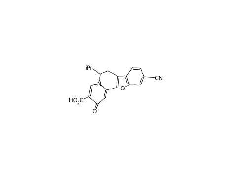 CC(C)C1Cc2c(oc3cc(C#N)ccc23)-c2cc(=O)c(C(=O)O)cn21